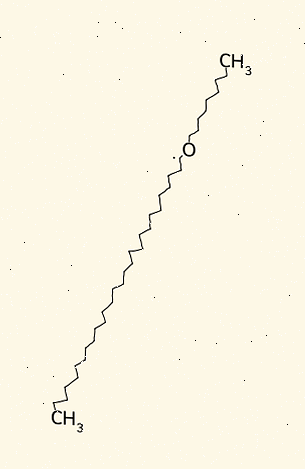 CCCCCCCCCCCCCCCCCCCCCCCCCCC[CH]OCCCCCCCCC